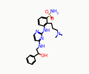 CN(C)CCCc1c(Nc2nccc(NCC(O)c3ccccc3)n2)cccc1S(N)(=O)=O